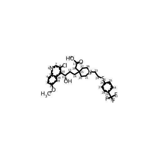 COc1ccc2ncc(Cl)c([C@H](O)CCC3(CC(=O)O)CCN(CCSc4ccc(C(F)(F)F)cc4)CC3)c2c1